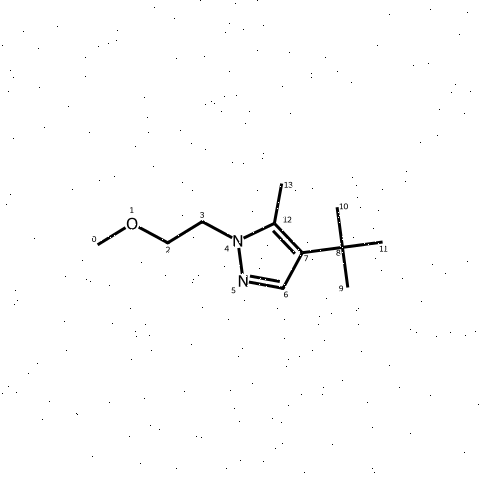 COCCn1ncc(C(C)(C)C)c1C